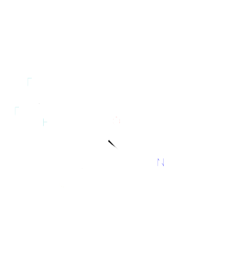 CCC(C)CN1CC[C@H](c2ccsc2)[C@@H](COc2cccc(C(F)(F)F)c2)C1